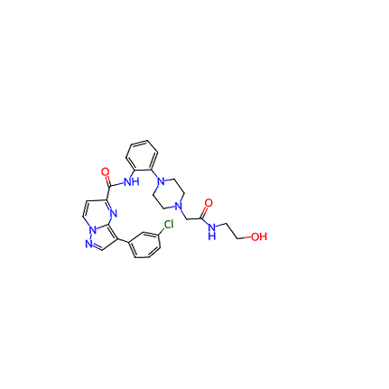 O=C(CN1CCN(c2ccccc2NC(=O)c2ccn3ncc(-c4cccc(Cl)c4)c3n2)CC1)NCCO